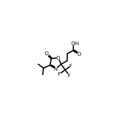 CC(C)C1=NC(CCC(=O)O)(C(F)(F)F)OC1=O